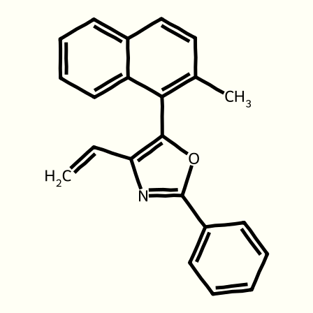 C=Cc1nc(-c2ccccc2)oc1-c1c(C)ccc2ccccc12